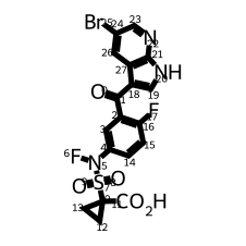 O=C(c1cc(N(F)S(=O)(=O)C2(C(=O)O)CC2)ccc1F)c1c[nH]c2ncc(Br)cc12